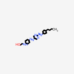 CCCCc1ccc(N=Nc2ncc(N=Nc3ccc(NCCO)cc3)cn2)cc1